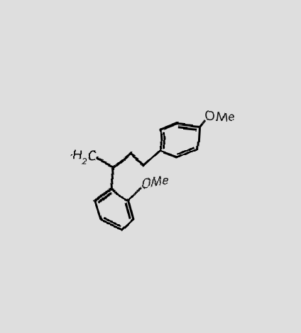 [CH2]C(CCc1ccc(OC)cc1)c1ccccc1OC